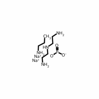 CCCN.NCCNCCN.O=[PH]([O-])[O-].[Na+].[Na+]